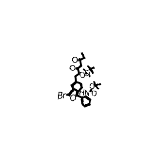 CCC(=O)CC(=O)C(Cc1ccc2c(-c3ccccc3NC(=O)OC(C)(C)C)oc(Br)c2c1)O[Si](C)(C)C(C)(C)C